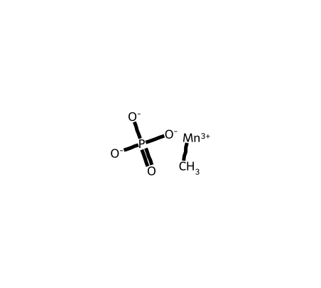 O=P([O-])([O-])[O-].[CH3][Mn+3]